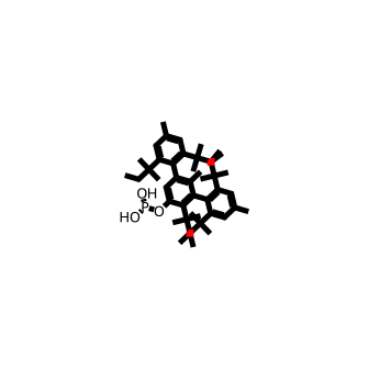 CCC(C)(C)c1cc(C)cc(C(C)(C)CC)c1-c1cc(OP(O)O)c(C(C)(C)CC)c(-c2c(C(C)(C)CC)cc(C)cc2C(C)(C)CC)c1C